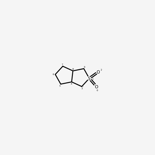 O=S1(=O)[CH]C2CCCC2C1